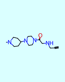 C#CCNCC(=O)N1CCN(C2CCN(C)CC2)CC1